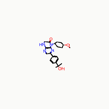 CO[C@H]1CC[C@@H](N2C(=O)CNc3ncc(-c4ccc(C(C)(C)O)cc4)nc32)CC1